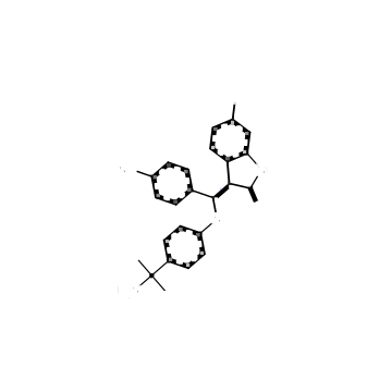 CC(C)(N)c1ccc(N/C(=C2\C(=O)Nc3cc(Cl)ccc32)c2ccc(C#N)cc2)cc1